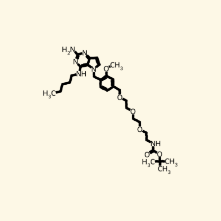 CCCCCNc1nc(N)nc2ccn(Cc3ccc(COCCOCCOCCNC(=O)OC(C)(C)C)cc3OC)c12